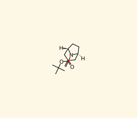 C=C1C[C@@H]2CC[C@@H](C1)N2C(=O)OC(C)(C)C